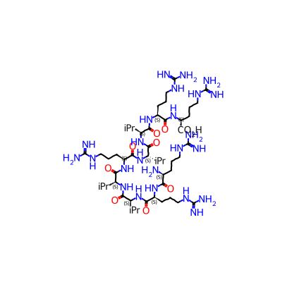 CC(C)[C@H](NC(=O)[C@H](CCCNC(=N)N)NC(=O)[C@@H](NC(=O)[C@@H](NC(=O)[C@H](CCCNC(=N)N)NC(=O)[C@@H](N)CCCNC(=N)N)C(C)C)C(C)C)C(=O)N[C@H](C(=O)N[C@@H](CCCNC(=N)N)C(=O)N[C@@H](CCCNC(=N)N)C(=O)O)C(C)C